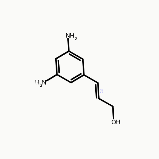 Nc1cc(N)cc(/C=C/CO)c1